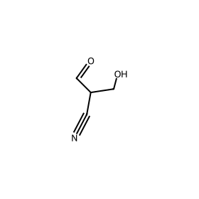 N#CC(C=O)CO